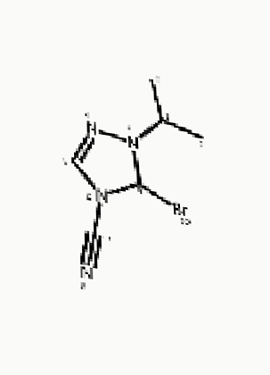 CC(C)N1N=CN(C#N)C1Br